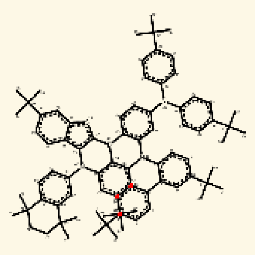 CC(C)(C)c1ccc(-c2cc(C(C)(C)C)ccc2N2c3cc(N(c4ccc(C(C)(C)C)cc4)c4ccc(C(C)(C)C)cc4)ccc3B3c4sc5cc(C(C)(C)C)ccc5c4N(c4ccc5c(c4)C(C)(C)CCC5(C)C)c4cc(C(C)(C)C)cc2c43)cc1